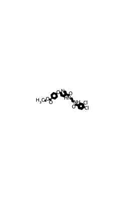 CCOC(=O)[C@H]1CC[C@@H](Oc2ccc(C(=O)NCCNC(=O)c3ccc(Cl)c(Cl)c3)cn2)CC1